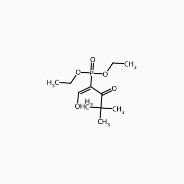 CCOP(=O)(OCC)C(=CO)C(=O)C(C)(C)C